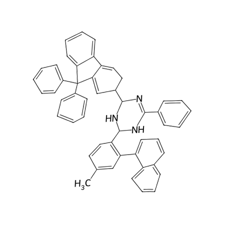 Cc1ccc(C2NC(c3ccccc3)=NC(C3C=C4C(=CC3)c3ccccc3C4(c3ccccc3)c3ccccc3)N2)c(-c2cccc3ccccc23)c1